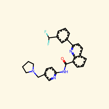 O=C(Nc1ccc(CN2CCCC2)cn1)c1cccc2ccc(-c3cccc(C(F)F)c3)nc12